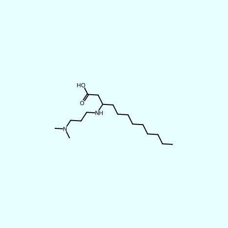 CCCCCCCCCC(CC(=O)O)NCCCN(C)C